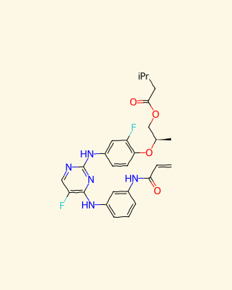 C=CC(=O)Nc1cccc(Nc2nc(Nc3ccc(O[C@H](C)COC(=O)CC(C)C)c(F)c3)ncc2F)c1